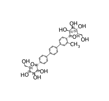 Cc1cc(-c2ccc(-c3ccc([C@H]4O[C@H](CO)[C@@H](O)[C@H](O)[C@@H]4O)cc3)cc2)ccc1[C@H]1O[C@H](CO)[C@@H](O)[C@H](O)[C@@H]1O